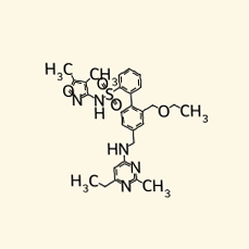 CCOCc1cc(CNc2cc(CC)nc(C)n2)ccc1-c1ccccc1S(=O)(=O)Nc1noc(C)c1C